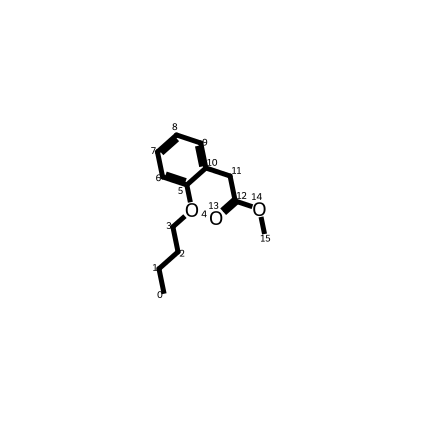 CCCCOc1ccccc1CC(=O)OC